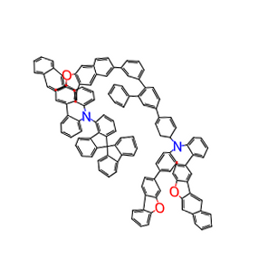 C1=CC(N(c2ccc(-c3ccc4c(c3)oc3ccccc34)cc2)c2ccccc2-c2ccc3oc4cc5ccccc5cc4c3c2)CC=C1c1ccc(-c2cccc(-c3ccc4cc5oc6ccc(-c7ccccc7N(c7cccc(-c8ccc9ccccc9c8)c7)c7cccc8c7-c7ccccc7C87c8ccccc8-c8ccccc87)cc6c5cc4c3)c2)c(-c2ccccc2)c1